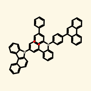 c1ccc(-c2cccc(N(c3ccc(-c4cc5ccccc5c5ccccc45)cc3)c3ccccc3-c3cccc(-n4c5ccccc5c5c6ccccc6ccc54)c3)c2)cc1